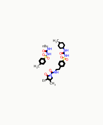 CCC1=C(C)CN(C(=O)NCCc2ccc(S(=O)(=O)NC(=O)NC3CCC(C)CC3)cc2)C1=O.CCCCNC(=O)NS(=O)(=O)c1ccc(C)cc1